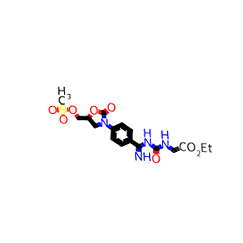 CCOC(=O)CNC(=O)NC(=N)c1ccc(N2CC(COS(C)(=O)=O)OC2=O)cc1